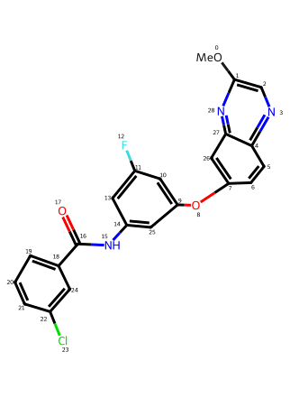 COc1cnc2ccc(Oc3cc(F)cc(NC(=O)c4cccc(Cl)c4)c3)cc2n1